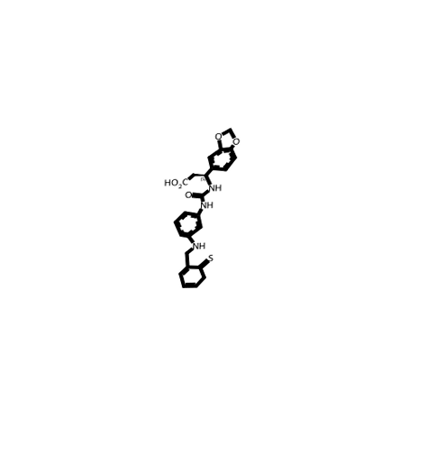 O=C(O)C[C@H](NC(=O)Nc1cccc(NCC2=CC=CCC2=S)c1)c1ccc2c(c1)OCO2